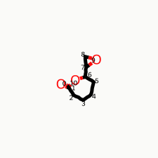 O=C1CCCCC(C2CO2)O1